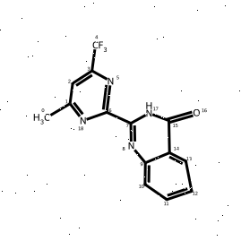 Cc1cc(C(F)(F)F)nc(-c2nc3ccccc3c(=O)[nH]2)n1